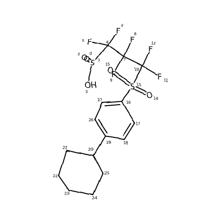 O=S(=O)(O)C(F)(F)C(F)(F)C(F)(F)S(=O)(=O)c1ccc(C2CCCCC2)cc1